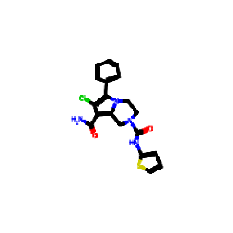 NC(=O)c1c(Cl)c(-c2ccccc2)n2c1CN(C(=O)Nc1cccs1)CC2